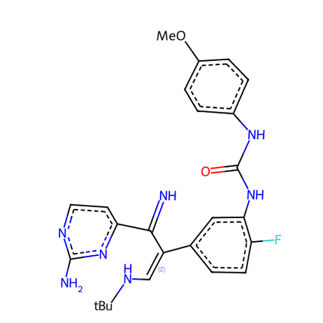 COc1ccc(NC(=O)Nc2cc(/C(=C/NC(C)(C)C)C(=N)c3ccnc(N)n3)ccc2F)cc1